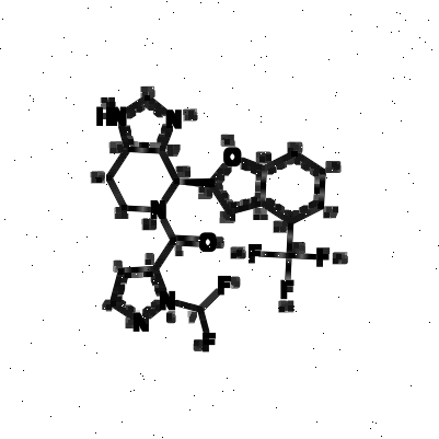 O=C(c1ccnn1C(F)F)N1CCc2[nH]cnc2[C@H]1c1cc2c(C(F)(F)F)cccc2o1